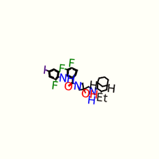 CC[C@@H]1C[C@@H]2CCC[C@@H](C2)C1NCC1(O)CN(C(=O)c2ccc(F)c(F)c2Nc2ccc(I)cc2F)C1